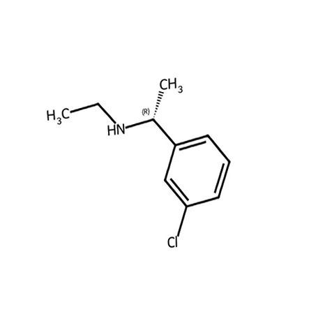 CCN[C@H](C)c1cccc(Cl)c1